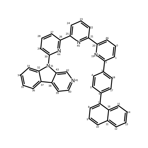 c1cc(-c2ccc(-c3cccc4ccccc34)cc2)nc(-c2cccc(-c3cccc(-n4c5ccccc5c5ccncc54)n3)n2)c1